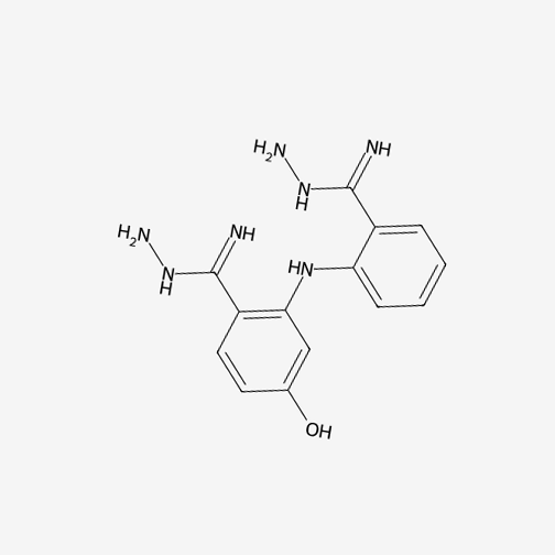 N=C(NN)c1ccccc1Nc1cc(O)ccc1C(=N)NN